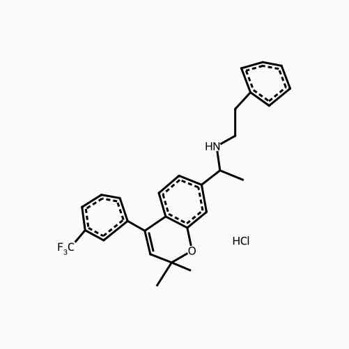 CC(NCCc1ccccc1)c1ccc2c(c1)OC(C)(C)C=C2c1cccc(C(F)(F)F)c1.Cl